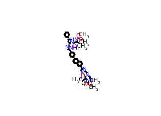 CCCN(Cc1nc(-c2ccc3cc(-c4ccc(-c5cnc([C@@H]6C[C@@H](c7ccccc7)CN6C(=O)[C@@H](NC(=O)OC)C(C)C)[nH]5)cc4)ccc3c2)c[nH]1)C(=O)[C@@H](NC(=O)OC)C(C)C